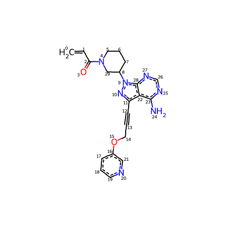 C=CC(=O)N1CCCC(n2nc(C#CCOc3cccnc3)c3c(N)ncnc32)C1